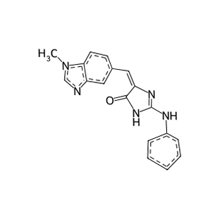 Cn1cnc2cc(C=C3N=C(Nc4ccccc4)NC3=O)ccc21